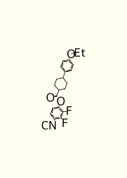 CCOc1ccc(C2CCC(C(=O)Oc3ccc(C#N)c(F)c3F)CC2)cc1